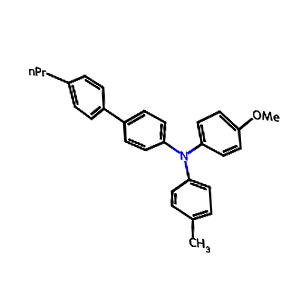 CCCc1ccc(-c2ccc(N(c3ccc(C)cc3)c3ccc(OC)cc3)cc2)cc1